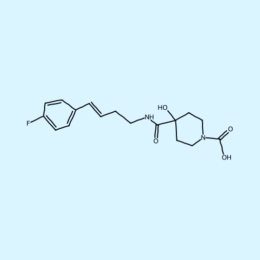 O=C(O)N1CCC(O)(C(=O)NCCC=Cc2ccc(F)cc2)CC1